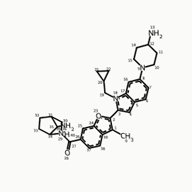 Cc1c(-c2cc3ccc(N4CCC(N)CC4)cc3n2CC2CC2)oc2cc(C(=O)N3CC4CCC3[C@@H]4N)ccc12